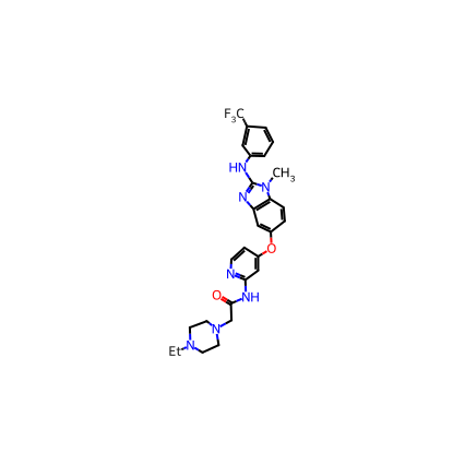 CCN1CCN(CC(=O)Nc2cc(Oc3ccc4c(c3)nc(Nc3cccc(C(F)(F)F)c3)n4C)ccn2)CC1